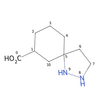 O=C(O)C1CCCC2(CCNN2)C1